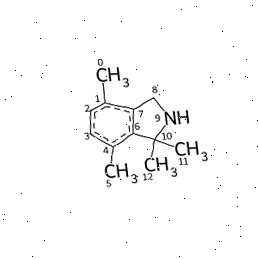 Cc1ccc(C)c2c1CNC2(C)C